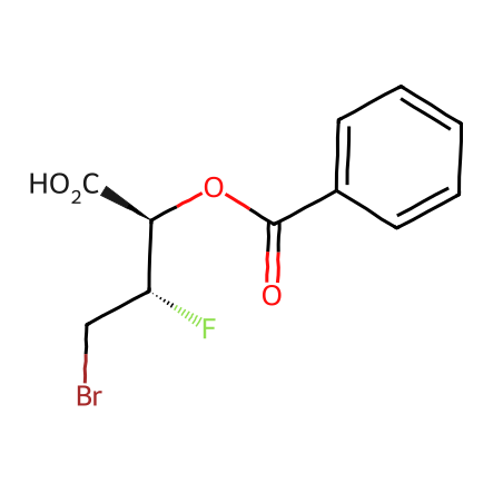 O=C(O[C@H](C(=O)O)[C@H](F)CBr)c1ccccc1